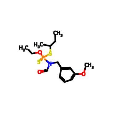 CCOP(=S)(SC(C)CC)N(C=O)Cc1cccc(OC)c1